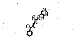 C=N/C(=N\C=C(/C)C(=O)c1ccccc1)NCc1cncnc1